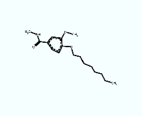 CCCCCCCCOc1ccc(C(=O)NC)cc1OC